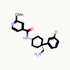 COc1cc(C(=O)N[C@H]2CC[C@](CN)(c3cccc(Cl)c3)CC2)ccn1